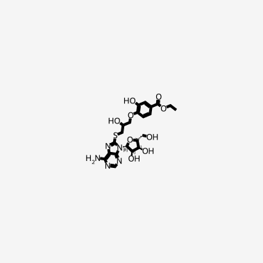 CCOC(=O)c1ccc(OCC(O)CSc2nc3c(N)ncnc3n2[C@@H]2O[C@H](CO)[C@@H](O)[C@H]2O)c(O)c1